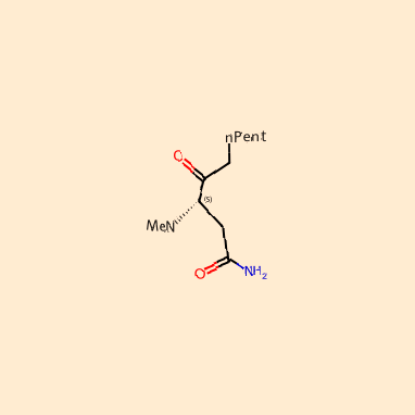 CCCCCCC(=O)[C@H](CC(N)=O)NC